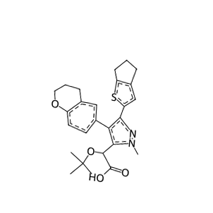 Cn1nc(-c2cc3c(s2)CCC3)c(-c2ccc3c(c2)CCCO3)c1C(OC(C)(C)C)C(=O)O